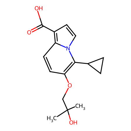 CC(C)(O)COc1ccc2c(C(=O)O)ccn2c1C1CC1